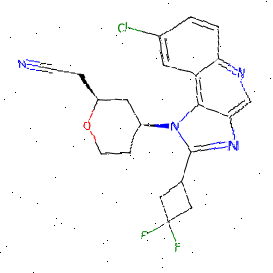 N#CC[C@H]1C[C@@H](n2c(C3CC(F)(F)C3)nc3cnc4ccc(Cl)cc4c32)CCO1